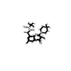 Cc1cc([C@@H](C)N[S@@+]([O-])C(C)(C)C)c2oc(N3CCC(C)(C)CC3)c(C)c(=O)c2c1